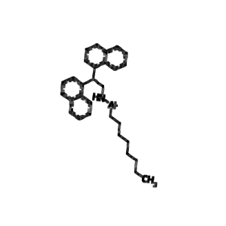 CCCCCCC[CH2][Al][NH]CC(c1cccc2ccccc12)c1cccc2ccccc12